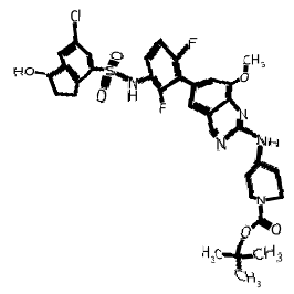 COc1cc(-c2c(F)ccc(NS(=O)(=O)c3cc(Cl)cc4c3CC[C@H]4O)c2F)cc2cnc(NC3CCN(C(=O)OC(C)(C)C)CC3)nc12